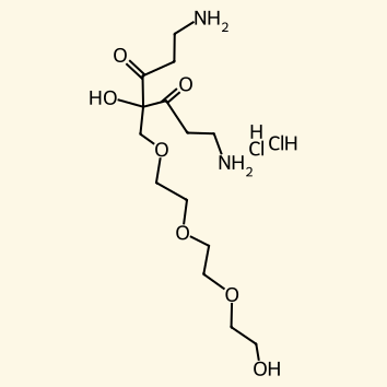 Cl.Cl.NCCC(=O)C(O)(COCCOCCOCCO)C(=O)CCN